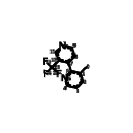 Cc1cccnc1-c1ccn[c]c1C(F)(F)F